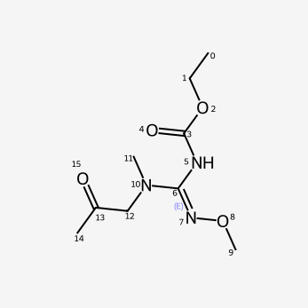 CCOC(=O)N/C(=N\OC)N(C)CC(C)=O